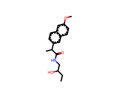 CCC(O)CNC(=O)C(C)c1ccc2cc(OC)ccc2c1